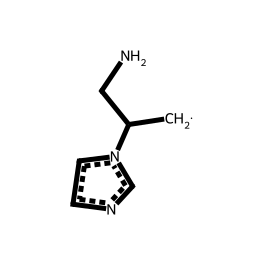 [CH2]C(CN)n1ccnc1